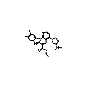 CCNC(=O)c1cc2c(N3CC[C@H](N(C)C)C3)ccnc2n2c1nc1cc(C)c(C)cc12